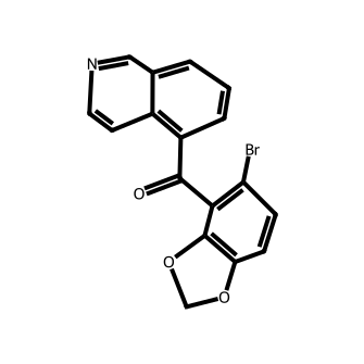 O=C(c1c(Br)ccc2c1OCO2)c1cccc2cnccc12